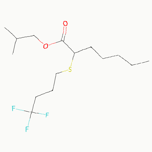 CCCCCC(SCCCC(F)(F)F)C(=O)OCC(C)C